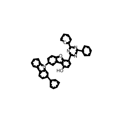 Oc1ccc(-c2nc(-c3ccccc3)nc(-c3ccccc3)n2)c2oc3ccc(-n4c5ccccc5c5ccc(-c6ccccc6)cc54)cc3c12